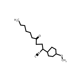 [C-]#[N+]C(CCC(=O)CCCCCC)C1CCC(OC)CC1